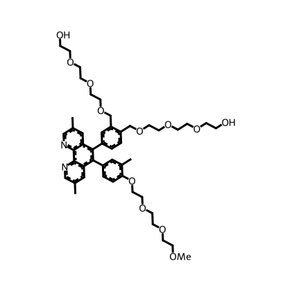 COCCOCCOCCOc1ccc(-c2c(-c3ccc(COCCOCCOCCO)c(COCCOCCOCCO)c3)c3cc(C)cnc3c3ncc(C)cc23)cc1C